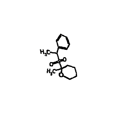 CC(c1ccccc1)S(=O)(=O)C1(C)CCCCO1